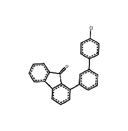 O=C1c2ccccc2-c2cccc(-c3cccc(-c4ccc(Cl)cc4)c3)c21